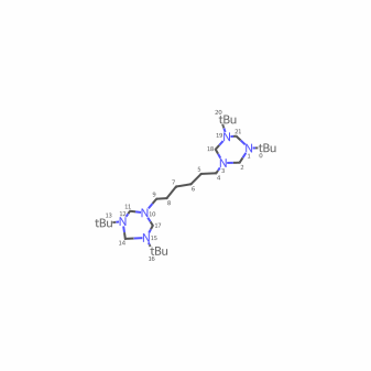 CC(C)(C)N1CN(CCCCCCN2CN(C(C)(C)C)CN(C(C)(C)C)C2)CN(C(C)(C)C)C1